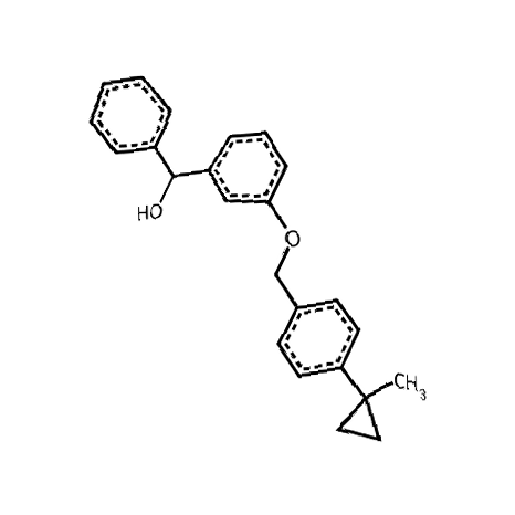 CC1(c2ccc(COc3cccc(C(O)c4ccccc4)c3)cc2)CC1